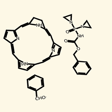 C1=Cc2cc3ccc(cc4nc(cc5[nH]c(cc1n2)CC5)C=C4)[nH]3.O=C(NP(=O)(N1CC1)N1CC1)OCc1ccccc1.O=[C]c1ccccc1